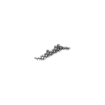 C=CCCC1CCC(C2CC=C(c3ccc(-c4ccc(-c5ccc(OCCCCCC)c(F)c5F)cc4)cc3F)CC2)CC1